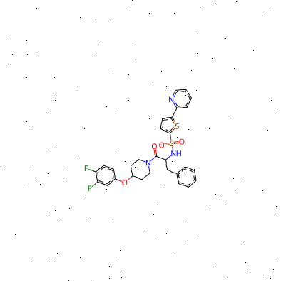 O=C(C(Cc1ccccc1)NS(=O)(=O)c1ccc(-c2ccccn2)s1)N1CCC(Oc2ccc(F)c(F)c2)CC1